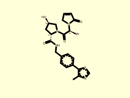 Cc1ncsc1-c1ccc(CNC(=O)[C@@H]2C[C@@H](O)CN2C(=O)[C@H](C(C)C)N2CC=CC2=O)cc1